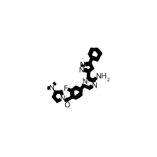 CN(C)[C@@H]1CCN(C(=O)c2ccc(-c3cnc(N)c(C4=NN=C(c5ccccc5)C4)n3)cc2F)C1